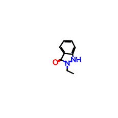 CCn1[nH]c2ccccc2c1=O